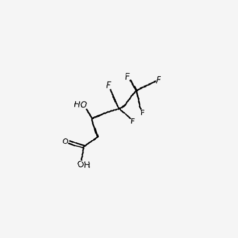 O=C(O)CC(O)C(F)(F)C(F)(F)F